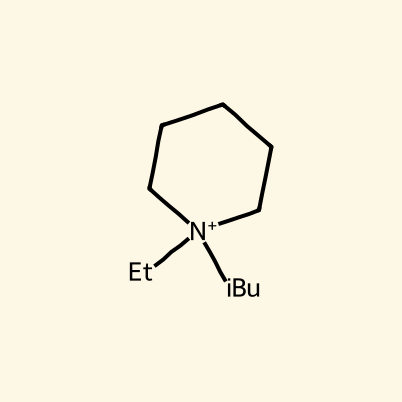 CCC(C)[N+]1(CC)CCCCC1